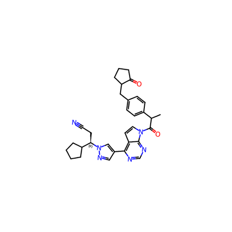 CC(C(=O)n1ccc2c(-c3cnn([C@H](CC#N)C4CCCC4)c3)ncnc21)c1ccc(CC2CCCC2=O)cc1